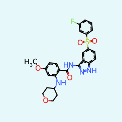 COc1ccc(C(=O)Nc2n[nH]c3ccc(S(=O)(=O)c4cccc(F)c4)cc23)c(NC2CCOCC2)c1